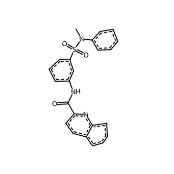 CN(c1ccccc1)S(=O)(=O)c1cccc(NC(=O)c2ccc3ccccc3n2)c1